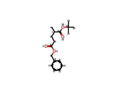 CC(CCC(=O)OCc1ccccc1)C(=O)OC(C)(C)C